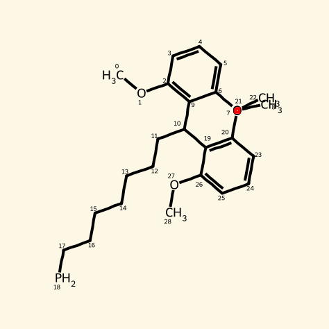 COc1cccc(OC)c1C(CCCCCCCP)c1c(OC)cccc1OC